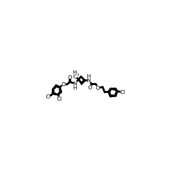 CC1(NC(=O)COc2ccc(Cl)c(Cl)c2)C=C(NC(=O)COCCc2ccc(Cl)cc2)C1